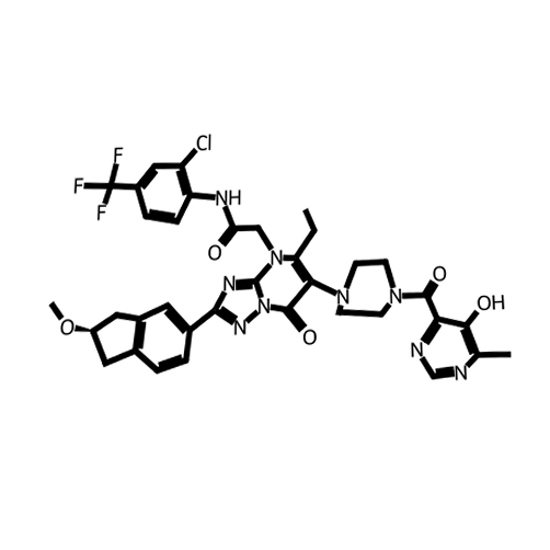 CCc1c(N2CCN(C(=O)c3ncnc(C)c3O)CC2)c(=O)n2nc(-c3ccc4c(c3)C[C@H](OC)C4)nc2n1CC(=O)Nc1ccc(C(F)(F)F)cc1Cl